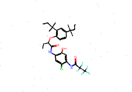 CCC(Oc1ccc(C(C)(C)CC)cc1C(C)(C)CC)C(=O)Nc1cc(Cl)c(NC(=O)C(F)(F)C(F)(F)F)cc1O